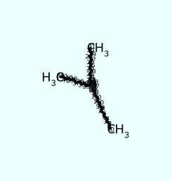 CCCCCCCCCCCCCCCCN1C=CN(CCCCCCCCCCCC)C1CCCCCCCCCCC